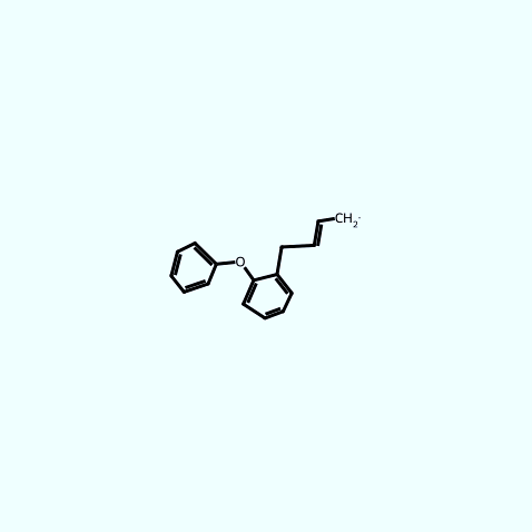 [CH2]C=CCc1ccccc1Oc1ccccc1